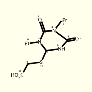 CCN1C(=O)N(C(C)C)C(=O)NC1SCC(=O)O